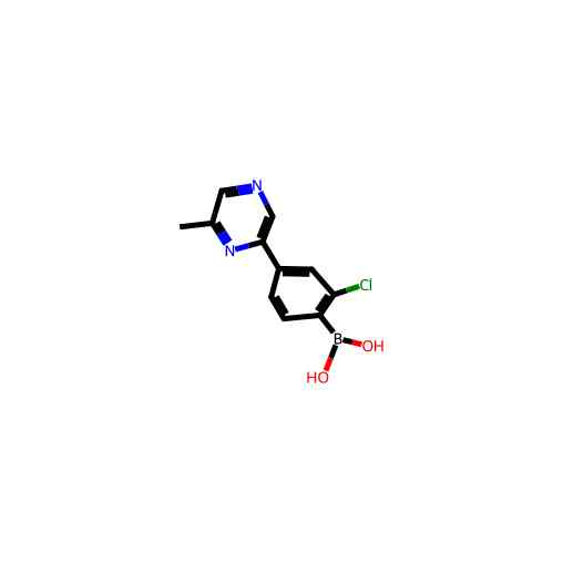 Cc1cncc(-c2ccc(B(O)O)c(Cl)c2)n1